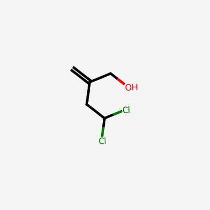 C=C(CO)CC(Cl)Cl